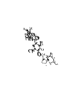 C=C1CC(C)CC(CC)(CCOc2cc(F)c(C(=O)NS(=O)(=O)N(C)C)cc2Cl)C1